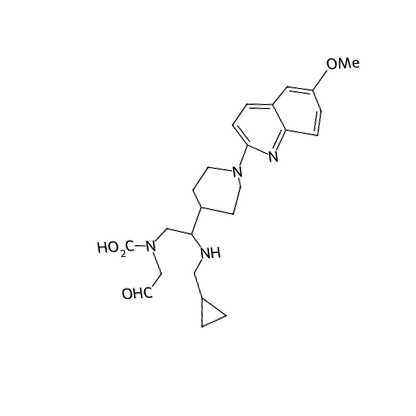 COc1ccc2nc(N3CCC(C(CN(CC=O)C(=O)O)NCC4CC4)CC3)ccc2c1